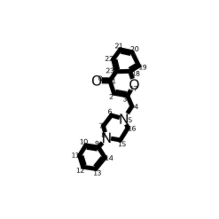 O=c1cc(CN2CCN(c3ccccc3)CC2)oc2ccccc12